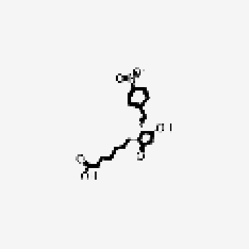 O=C(O)CCCCCC[C@@H]1C(=O)C[C@@H](O)[C@H]1C=Cc1ccc([N+](=O)[O-])cc1